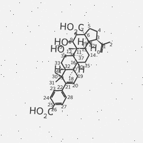 C=C(C)[C@@H]1CC[C@]2(C(=O)O)C[C@H](O)[C@]3(C)[C@H](CC[C@@H]4[C@@]5(C)CC=C(c6ccc(C(=O)O)cc6)C(C)(C)[C@@H]5C[C@H](O)[C@]43C)[C@@H]12